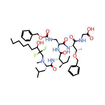 CCCCCCC(O)C(F)(F)CN(C)[C@@H](CC(C)C)C(=O)N[C@H](C(=O)N[C@@H](CNC(=O)OCc1ccccc1)C(=O)N[C@H](C(=O)NCC(=O)O)[C@H](C)OCc1ccccc1)[C@H](C)CC